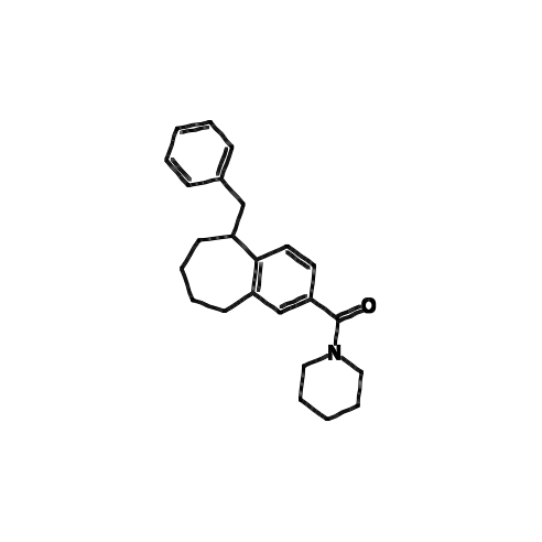 O=C(c1ccc2c(c1)CCCCC2Cc1ccccc1)N1CCCCC1